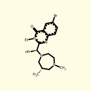 CCC[C@@H](c1nc2ccc(Br)cc2c(=O)n1CC)N1CCN(C)C[C@H](C)C1